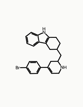 Brc1ccc(C2=CCNC(CC3CCc4[nH]c5ccccc5c4C3)C2)cc1